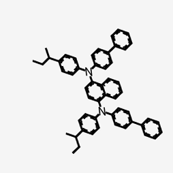 CCC(C)c1ccc(N(c2ccc(-c3ccccc3)cc2)c2ccc(N(c3ccc(-c4ccccc4)cc3)c3ccc(C(C)CC)cc3)c3ccccc23)cc1